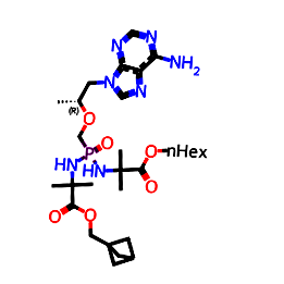 CCCCCCOC(=O)C(C)(C)NP(=O)(CO[C@H](C)Cn1cnc2c(N)ncnc21)NC(C)(C)C(=O)OCC12CC(C1)C2